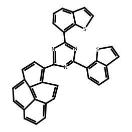 c1cc(-c2nc(-c3ccc4ccc5cccc6ccc3c4c56)nc(-c3cccc4ccsc34)n2)c2sccc2c1